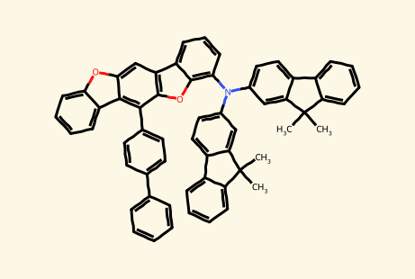 CC1(C)c2ccccc2-c2ccc(N(c3ccc4c(c3)C(C)(C)c3ccccc3-4)c3cccc4c3oc3c(-c5ccc(-c6ccccc6)cc5)c5c(cc34)oc3ccccc35)cc21